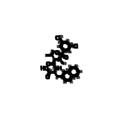 CC(C)[C@@H](C(=O)N[C@@H](Cc1ccc2ccccc2c1)C(=O)O)N(C)S(=O)(=O)c1cc(Cl)cc(Cl)c1